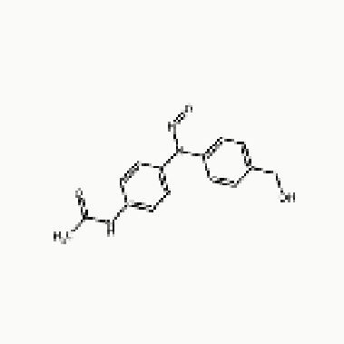 CC(=O)Nc1ccc(N(N=O)c2ccc(CO)cc2)cc1